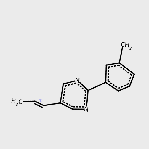 C/C=C/c1cnc(-c2cccc(C)c2)nc1